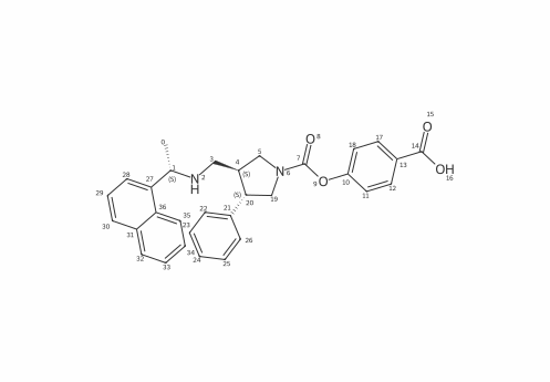 C[C@H](NC[C@H]1CN(C(=O)Oc2ccc(C(=O)O)cc2)C[C@@H]1c1ccccc1)c1cccc2ccccc12